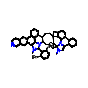 CC(C)c1cccc(C(C)C)c1C1N(C)c2c3c4c(cccc4c4cc5ccncc5cc24)C2CCC45Cc6ccc7c(c64)N4C(=CN(C)C46CC56CCC2N31)c1ccccc1-7